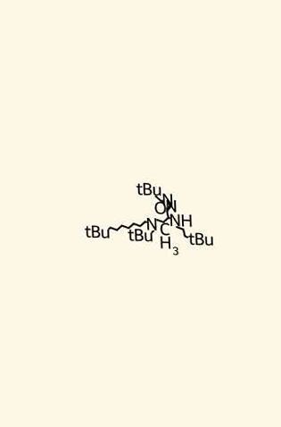 CC(CN(CCCCCCCC(C)(C)C)CC(C)(C)C)C(NCCCC(C)(C)C)c1nnc(CC(C)(C)C)o1